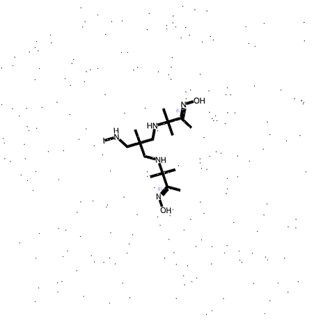 C/C(=N\O)C(C)(C)NCC(C)(CNI)CNC(C)(C)/C(C)=N/O